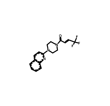 O=C(C=CC(F)(F)F)N1CCN(c2ccc3ccccc3n2)CC1